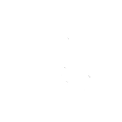 CC(C)(C)NCCCn1c(Sc2cc3c(cc2[131I])OCO3)nc2c(N)ncnc21